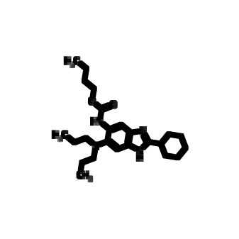 CCCCOC(=O)Nc1cc2nc(C3CCCCC3)[nH]c2cc1N(CCC)CCC